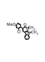 COc1ccc(-c2cc3c4ccccc4n(C)c3n(C)c2=O)c(Cl)c1